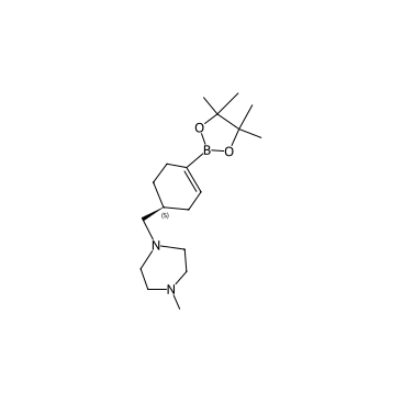 CN1CCN(C[C@@H]2CC=C(B3OC(C)(C)C(C)(C)O3)CC2)CC1